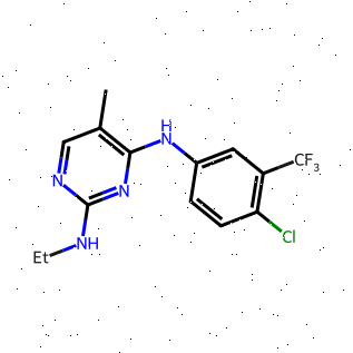 CCNc1ncc(C)c(Nc2ccc(Cl)c(C(F)(F)F)c2)n1